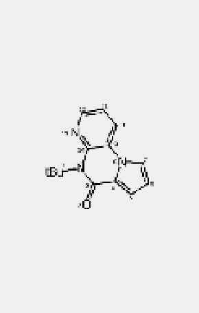 CC(C)(C)n1c(=O)c2cccn2c2cccnc21